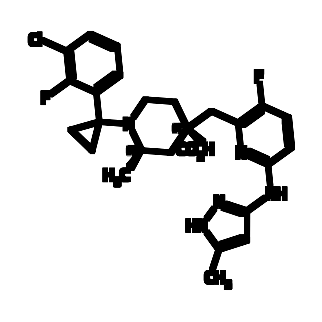 Cc1cc(Nc2ccc(F)c(C[C@@]3(C(=O)O)CCN(C4(c5cccc(Cl)c5F)CC4)[C@H](C)C3)n2)n[nH]1